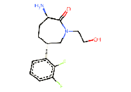 N[C@@H]1CC[C@@H](c2cccc(F)c2F)CN(CCO)C1=O